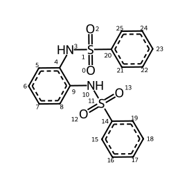 O=S(=O)(Nc1ccccc1NS(=O)(=O)c1ccccc1)c1ccccc1